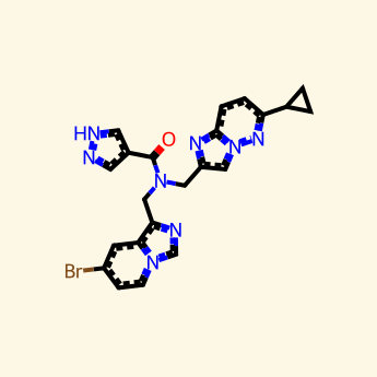 O=C(c1cn[nH]c1)N(Cc1cn2nc(C3CC3)ccc2n1)Cc1ncn2ccc(Br)cc12